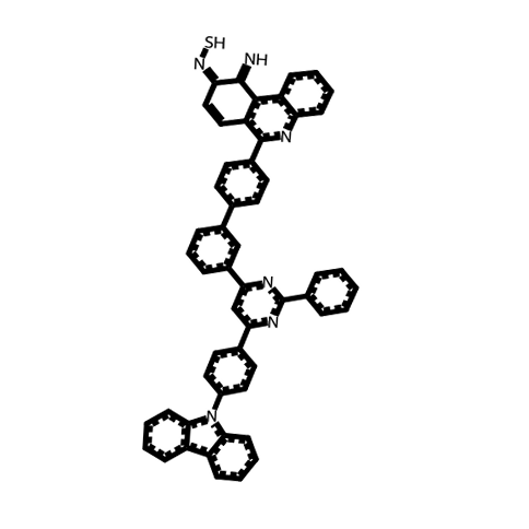 N=C1/C(=N\S)C=Cc2c(-c3ccc(-c4cccc(-c5cc(-c6ccc(-n7c8ccccc8c8ccccc87)cc6)nc(-c6ccccc6)n5)c4)cc3)nc3ccccc3c21